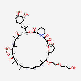 CO[C@@H]1C[C@H](C[C@@H](C)[C@@H]2CC(=O)[C@H](C)/C=C(\C)[C@@H](O)[C@@H](OC)C(=O)[C@H](C)C[C@H](C)/C=C/C=C/C=C(\C)C(OCCOCCCO)C[C@@H]3CC[C@@H](C)[C@@](O)(O3)C(=O)C(=O)N3CCCC[C@H]3C(=O)O2)CC[C@H]1O